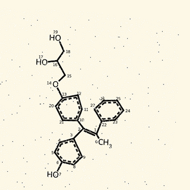 C/C(=C(\c1ccc(O)cc1)c1ccc(OCC(O)CO)cc1)c1ccccc1